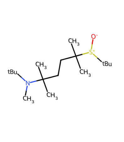 CN(C(C)(C)C)C(C)(C)CCC(C)(C)[S+]([O-])C(C)(C)C